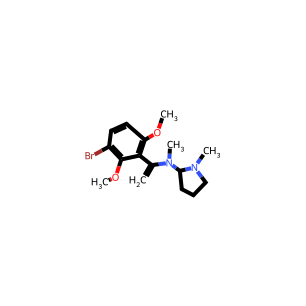 C=C(c1c(OC)ccc(Br)c1OC)N(C)C1CCCN1C